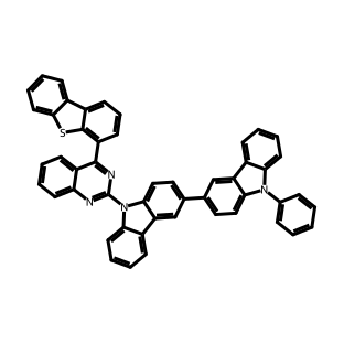 c1ccc(-n2c3ccccc3c3cc(-c4ccc5c(c4)c4ccccc4n5-c4nc(-c5cccc6c5sc5ccccc56)c5ccccc5n4)ccc32)cc1